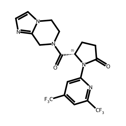 O=C([C@@H]1CCC(=O)N1c1cc(C(F)(F)F)cc(C(F)(F)F)n1)N1CCn2ccnc2C1